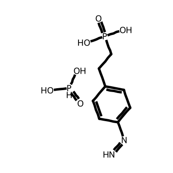 N=Nc1ccc(CCP(=O)(O)O)cc1.O=[PH](O)O